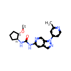 CCO[C@H]1CCC[C@@H]1NC(=O)Nc1cc2cnn(-c3ccnc(C)c3)c2cn1